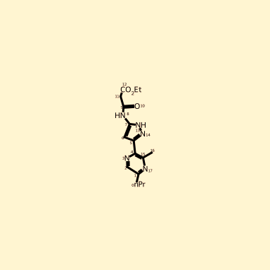 CCCc1cnc(-c2cc(NC(=O)CC(=O)OCC)[nH]n2)c(C)n1